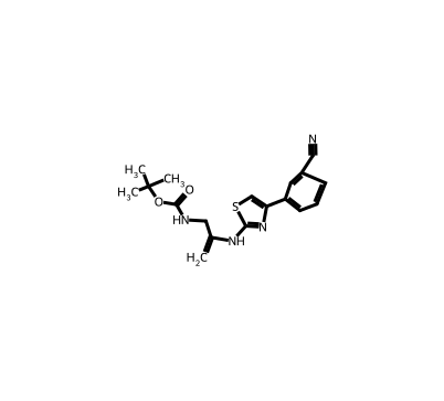 C=C(CNC(=O)OC(C)(C)C)Nc1nc(-c2cccc(C#N)c2)cs1